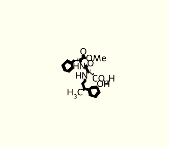 COC(=O)[C@H](Cc1ccccc1)NC(=O)[C@H](CC(=O)O)NCCC(C)c1cccc(O)c1